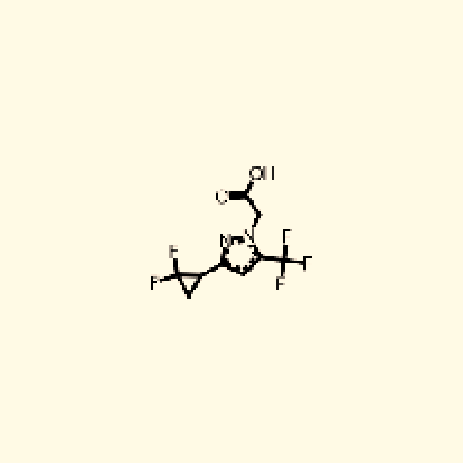 O=C(O)Cn1nc(C2CC2(F)F)cc1C(F)(F)F